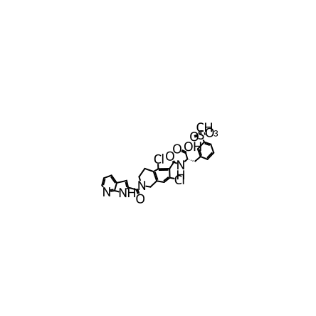 CS(=O)(=O)c1cccc(C[C@H](NC(=O)c2c(Cl)cc3c(c2Cl)CCN(C(=O)c2cc4cccnc4[nH]2)C3)C(=O)O)c1